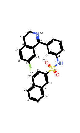 O=S(=O)(Nc1cccc(C2=NCCc3ccc(F)cc32)c1)c1ccc2ccccc2c1